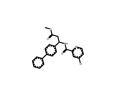 COC(=O)CC(NC(=O)c1cc(Cl)ccn1)c1ccc(-c2ccccc2)cc1